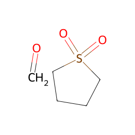 C=O.O=S1(=O)CCCC1